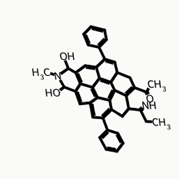 CCC(=N)C1Cc2c(-c3ccccc3)cc3cc4c5c(cc6c7c8c(c2c3c57)C1=C(C(C)=O)CC8C=C6c1ccccc1)C(O)N(C)C4O